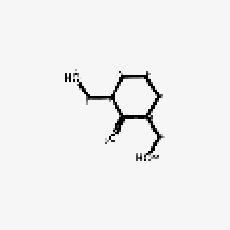 O=C1C(CO)CCCC1CO